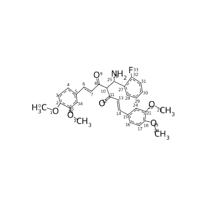 COc1ccc(/C=C/C(=O)C(C(=O)/C=C/c2ccc(OC)c(OC)c2)C(N)c2ccccc2F)cc1OC